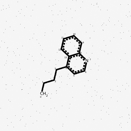 [CH2]CCCc1ccnc2ccccc12